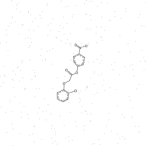 O=C(COc1ccccc1Cl)Oc1ccc([N+](=O)[O-])cc1